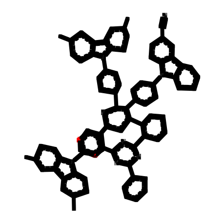 Cc1ccc2c(c1)c1cc(C)ccc1n2-c1ccc(-c2cc(-c3ccccc3-c3nc(-c4ccccc4)nc(-c4ccccc4)n3)c(-c3ccc(-n4c5ccccc5c5cc(C#N)ccc54)cc3)c(-c3ccc(-n4c5ccc(C)cc5c5cc(C)ccc54)cc3)n2)cc1